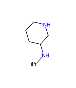 CC(C)NC1CCCNC1